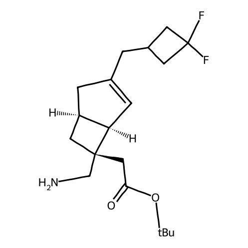 CC(C)(C)OC(=O)C[C@@]1(CN)C[C@H]2CC(CC3CC(F)(F)C3)=C[C@H]21